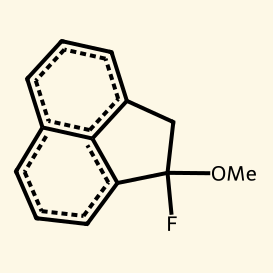 COC1(F)Cc2cccc3cccc1c23